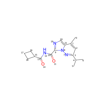 Cc1cc(C(C)C)nn2c(C(=O)NC(=O)C3CCC3)ncc12